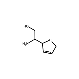 NC(CO)C1C=CCO1